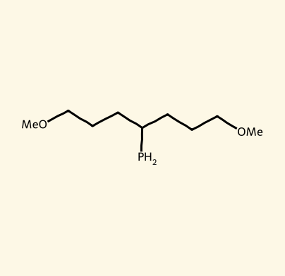 COCCCC(P)CCCOC